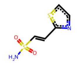 NS(=O)(=O)/C=C/c1nccs1